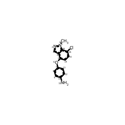 Cn1ncc2c(Oc3ccc(N)cc3)ccc(Cl)c21